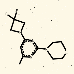 Cc1cc(N2CC(F)(F)C2)nc(N2CCOCC2)n1